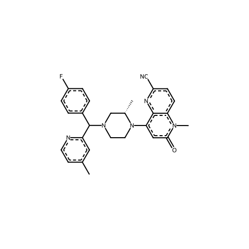 Cc1ccnc(C(c2ccc(F)cc2)N2CCN(c3cc(=O)n(C)c4ccc(C#N)nc34)[C@@H](C)C2)c1